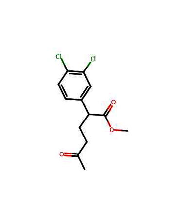 COC(=O)C(CCC(C)=O)c1ccc(Cl)c(Cl)c1